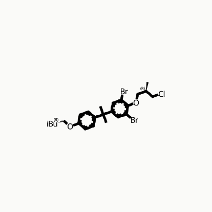 CC[C@@H](C)COc1ccc(C(C)(C)c2cc(Br)c(OC[C@@H](C)CCl)c(Br)c2)cc1